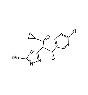 CC(C)(C)c1nnc(C(C(=O)c2ccc(Cl)cc2)C(=O)C2CC2)o1